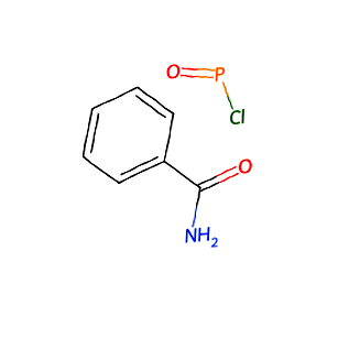 NC(=O)c1ccccc1.O=PCl